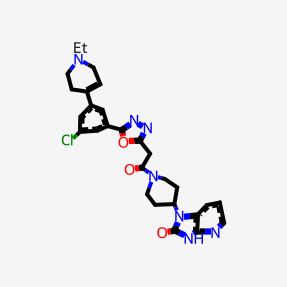 CCN1CC=C(c2cc(Cl)cc(-c3nnc(CC(=O)N4CCC(n5c(=O)[nH]c6ncccc65)CC4)o3)c2)CC1